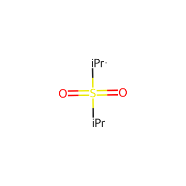 C[C](C)S(=O)(=O)C(C)C